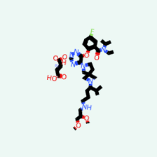 CCN(C(=O)c1cc(F)ccc1Oc1nncnc1N1CCC2(C1)CN(C(CCCNCC(COC)OC)C(C)C)C2)C(C)C.O=C(O)/C=C/C(=O)O